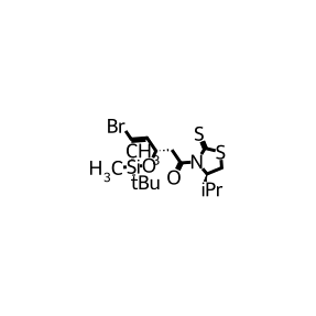 CC(C)[C@@H]1CSC(=S)N1C(=O)C[C@@H](/C=C/Br)O[Si](C)(C)C(C)(C)C